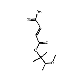 COC(C)C(C)(C)OC(=O)C=CC(=O)O